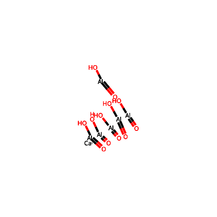 [Ca].[O]=[Al][OH].[O]=[Al][OH].[O]=[Al][OH].[O]=[Al][OH].[O]=[Al][OH].[O]=[Al][OH]